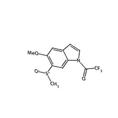 COc1cc2ccn(C(=O)C(F)(F)F)c2cc1[S+](C)[O-]